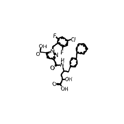 O=C(NC(Cc1ccc(-c2ccccc2)cc1)CC(O)C(=O)O)c1cc(C(=O)O)n(Cc2c(F)cc(Cl)cc2F)n1